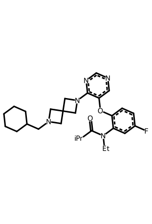 CCN(C(=O)C(C)C)c1cc(F)ccc1Oc1cncnc1N1CC2(CN(CC3CCCCC3)C2)C1